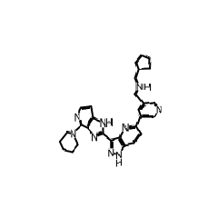 c1cc2[nH]c(-c3n[nH]c4ccc(-c5cncc(CNCC6CCCC6)c5)nc34)nc2c(N2CCCCC2)n1